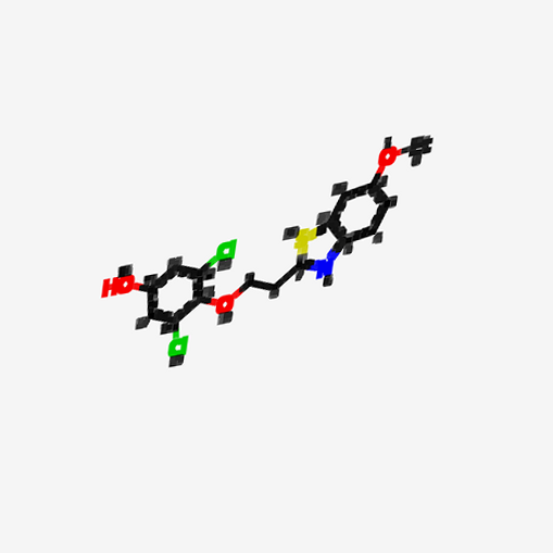 CCOc1ccc2nc(CCOc3c(Cl)cc(O)cc3Cl)sc2c1